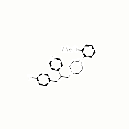 COc1ccccc1N1CCN(CC(Cc2ccc(F)cc2)c2ccncc2)CC1